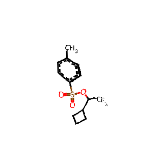 Cc1ccc(S(=O)(=O)OC(C2CCC2)C(F)(F)F)cc1